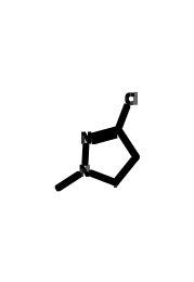 CN1[CH]CC(Cl)=N1